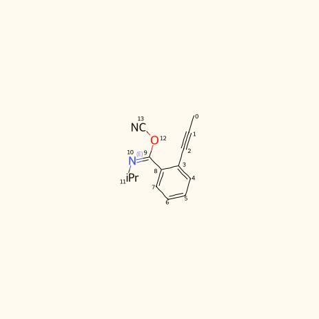 CC#Cc1ccccc1/C(=N\C(C)C)OC#N